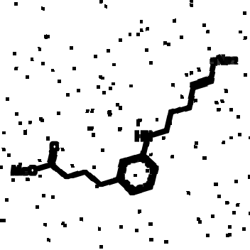 CCCCCCCCCC=CCCCNc1cccc(CCCC(=O)OC)c1